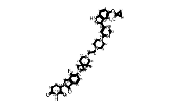 CC1(Oc2ccc3[nH]nc(-c4cc(N5CCN(CCN6CCC7(CN(c8ccc9c(c8F)CN(C8CCC(=O)NC8=O)C9=O)C7)C(F)(F)C6)CC5)ncn4)c3c2)CC1